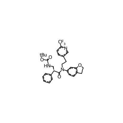 CC(C)(C)OC(=O)NC[C@@H](C(=O)N(CCc1ccc(C(F)(F)F)nc1)c1ccc2c(c1)OCC2)c1ccccc1